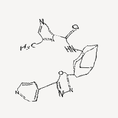 Cc1cncc(C(=O)NC23CC4CC(C2)CC(c2nnc(-c5ccncc5)o2)(C4)C3)n1